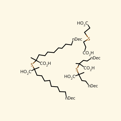 CCCCCCCCCCCCC(C)(SC(C)(CCCCCCCCCCCC)C(=O)O)C(=O)O.CCCCCCCCCCCCCCCCCCC(C)(SC(C)(CCCCCCCCCCCCCCCCCC)C(=O)O)C(=O)O.O=C(O)CCSCCC(=O)O